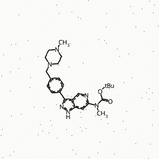 CN1CCN(Cc2ccc(-c3n[nH]c4cc(N(C)C(=O)OC(C)(C)C)ncc34)cc2)CC1